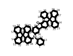 c1ccc(N(c2ccc3sc4cc(C5(c6ccccc6)c6ccccc6-c6ccccc65)ccc4c3c2)c2cccc3c2-c2ccccc2C32c3ccccc3-c3ccccc32)cc1